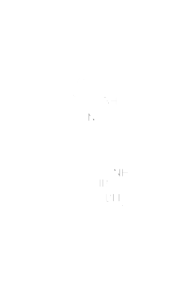 BBNC1CCC(N(B)CC(C)=O)CC1